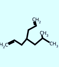 C=CC[C](CC=C)CC(C)C